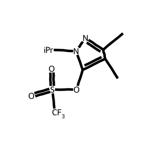 Cc1nn(C(C)C)c(OS(=O)(=O)C(F)(F)F)c1C